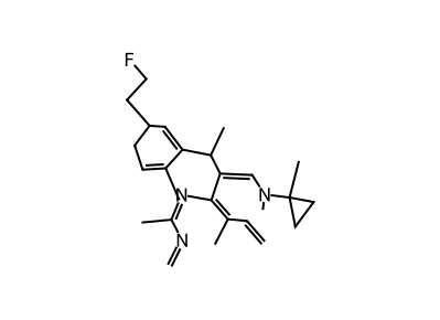 C=C/C(C)=C(/N=C(/C)N=C)C(=C/N(C)C1(C)CC1)\C(C)C1=CC(CCF)CC=C1C